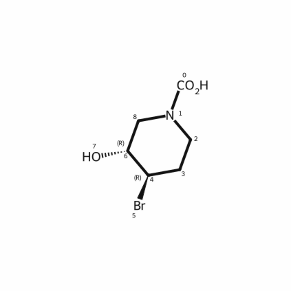 O=C(O)N1CC[C@@H](Br)[C@H](O)C1